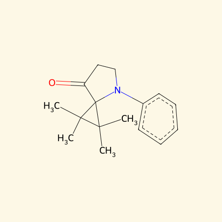 CC1(C)C(C)(C)C12C(=O)CCN2c1ccccc1